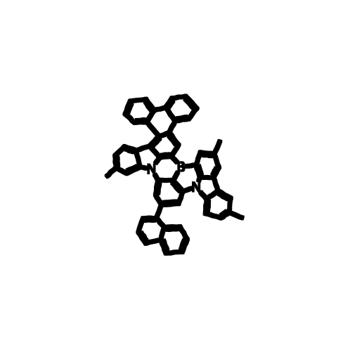 Cc1ccc2c(c1)c1cc(C)cc3c1n2-c1cc(-c2cccc4ccccc24)cc2c1B3c1cc3c4ccccc4c4ccccc4c3c3c4ccc(C)cc4n-2c13